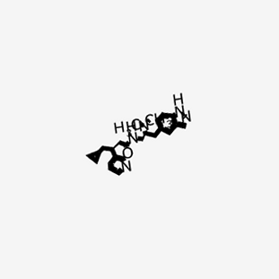 CN(C)[C@H](CNC(=O)C[C@H](CC1CC1)c1cccnc1)Cc1ccc2[nH]ncc2c1